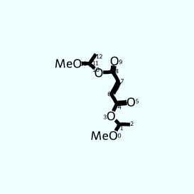 COC(C)OC(=O)C=CC(=O)OC(C)OC